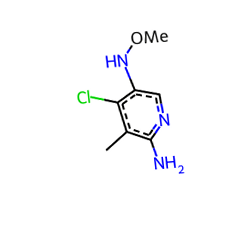 CONc1cnc(N)c(C)c1Cl